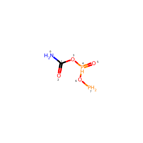 NC(=O)O[PH](=O)OP